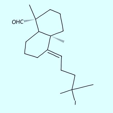 CC(C)(I)CC/C=C1\CCCC2[C@@]1(C)CCC[C@@]2(C)C=O